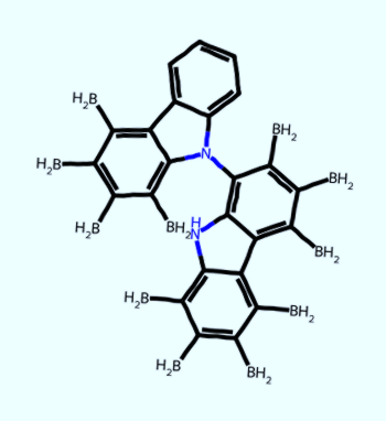 Bc1c(B)c(B)c2c([nH]c3c(-n4c5ccccc5c5c(B)c(B)c(B)c(B)c54)c(B)c(B)c(B)c32)c1B